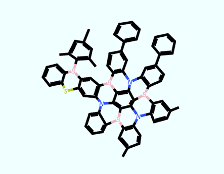 Cc1cc(C)c(B2c3ccccc3Sc3cc4c(cc32)B2c3ccc(-c5ccccc5)cc3N3c5cc(-c6ccccc6)ccc5B5c6cc(C)ccc6N6c7ccc(C)cc7B7c8ccccc8N4c4c7c6c5c3c42)c(C)c1